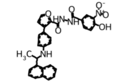 CC(Nc1ccc(-c2ccoc2C(=O)NNC(=O)c2ccc(O)c([N+](=O)[O-])c2)cc1)c1cccc2ccccc12